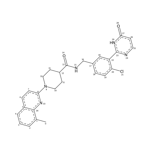 Cc1cccc2ccc(N3CCC(C(=O)NCc4ccc(Cl)c(-c5nccc(=O)[nH]5)c4)CC3)nc12